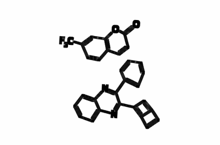 O=c1ccc2ccc(C(F)(F)F)cc2o1.c1ccc(-c2nc3ccccc3nc2-c2cc3ccc2-3)cc1